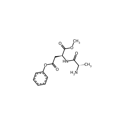 COC(=O)[C@H](CC(=O)Oc1ccccc1)NC(=O)[C@H](C)N